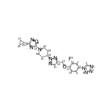 Fc1cc(-n2cnnn2)ccc1OCc1cnn(C2CCN(c3nc(C4CC4)no3)CC2)n1